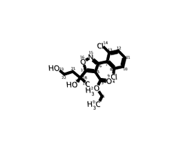 CCOC(=O)c1c(-c2c(Cl)cccc2Cl)noc1C(C)(O)CCO